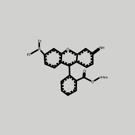 CCCCCCOC(=O)c1ccccc1-c1c2ccc(=N)cc-2oc2cc(N(CC)CC)ccc12